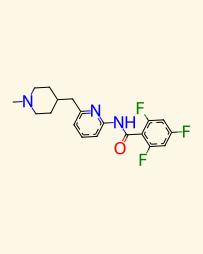 CN1CCC(Cc2cccc(NC(=O)c3c(F)cc(F)cc3F)n2)CC1